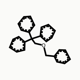 c1ccc(COCC(c2ccccc2)(c2ccccc2)c2ccccc2)cc1